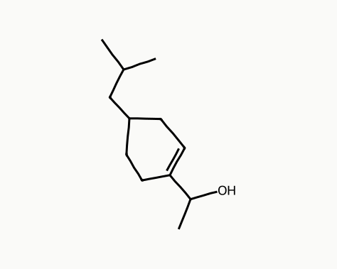 CC(C)CC1CC=C(C(C)O)CC1